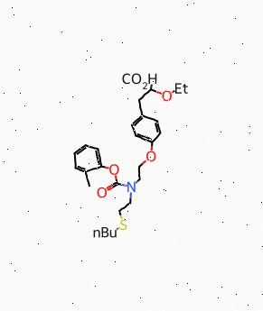 CCCCSCCN(CCOc1ccc(CC(OCC)C(=O)O)cc1)C(=O)Oc1ccccc1C